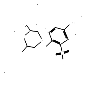 CC1CNCC(C)O1.Cc1ccc(O)cc1S(=O)(=O)O